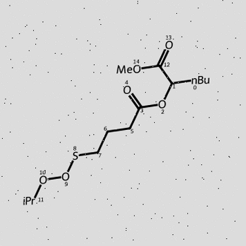 CCCCC(OC(=O)CCCSOOC(C)C)C(=O)OC